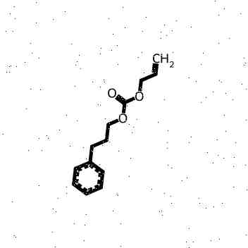 C=CCOC(=O)OCCCc1ccccc1